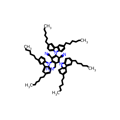 CCCCCCc1ccc2c(c1)c1cc(CCCCCC)ccc1n2-c1c(C#N)c(-n2c3ccc(CCCCCC)cc3c3cc(CCCCCC)ccc32)c(CN)c(-n2c3ccc(CCCCCC)cc3c3cc(CCCCCC)ccc32)c1C#N